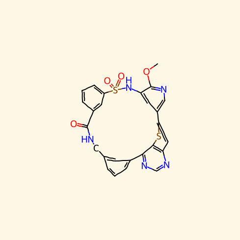 COc1ncc2cc1NS(=O)(=O)c1cccc(c1)C(=O)NCc1cccc(c1)-c1ncnc3cc-2sc13